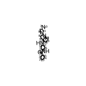 CN(C)C1CCN(c2ccc3c(Nc4ccc(NC(=O)c5ccccc5)cc4)ccnc3n2)C1